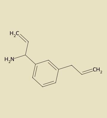 C=CCc1cccc(C(N)C=C)c1